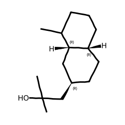 CC1CCC[C@@H]2CC[C@@H](CC(C)(C)O)C[C@H]12